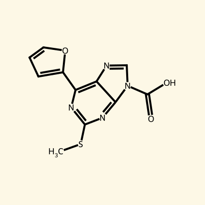 CSc1nc(-c2ccco2)c2ncn(C(=O)O)c2n1